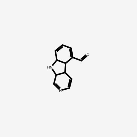 O=[C]C1=CC=CC2NC3C=NC=CC3C12